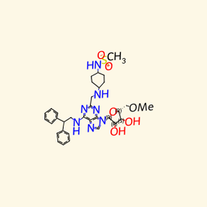 COC[C@H]1O[C@@H](n2cnc3c(NCC(c4ccccc4)c4ccccc4)nc(CNC4CCC(NS(C)(=O)=O)CC4)nc32)[C@H](O)[C@@H]1O